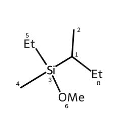 CCC(C)[Si](C)(CC)OC